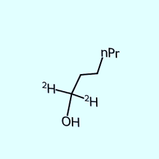 [2H]C([2H])(O)CCCCC